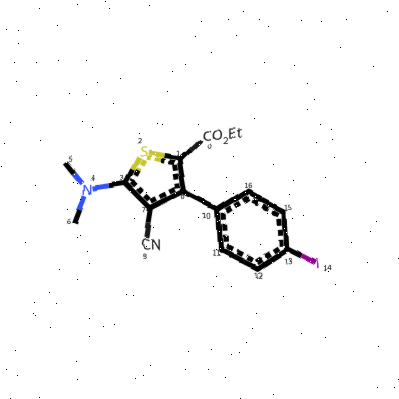 CCOC(=O)c1sc(N(C)C)c(C#N)c1-c1ccc(I)cc1